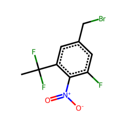 CC(F)(F)c1cc(CBr)cc(F)c1[N+](=O)[O-]